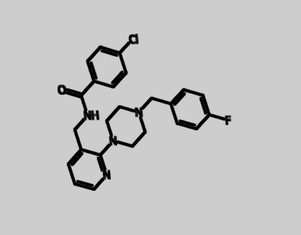 O=C(NCc1cccnc1N1CCN(Cc2ccc(F)cc2)CC1)c1ccc(Cl)cc1